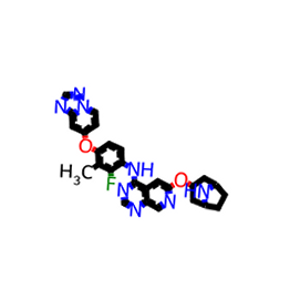 Cc1c(Oc2ccn3ncnc3c2)ccc(Nc2ncnc3cnc(OC4CC5CCC(C4)N5)cc23)c1F